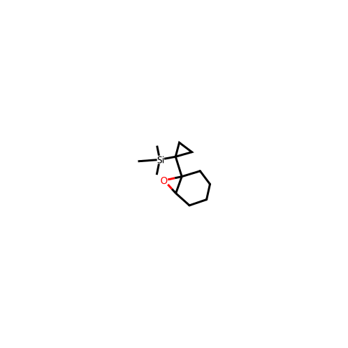 C[Si](C)(C)C1(C23CCCCC2O3)CC1